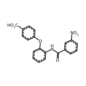 O=C(O)c1ccc(Oc2ccccc2NC(=O)c2cccc([N+](=O)[O-])c2)cc1